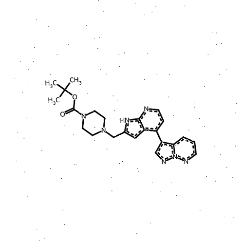 CC(C)(C)OC(=O)N1CCN(Cc2cc3c(-c4cnn5ncccc45)ccnc3[nH]2)CC1